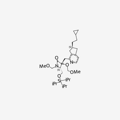 COCO[C@@]1(Cc2nccc3c2C[C@@H](CCC2CC2)C3)C(=O)N(COC)[C@H]1CO[Si](C(C)C)(C(C)C)C(C)C